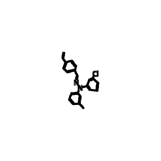 C=Cc1ccc(C=NN(c2cccc(C)c2)c2cccc(Cl)c2)cc1